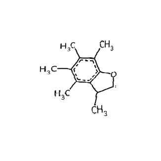 Cc1c(C)c(C)c2c(c1C)O[C]C2C